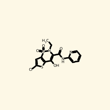 CCN1C(C(=O)Nc2ccccn2)=C(O)c2sc(Cl)cc2S1(=O)=O